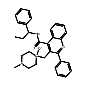 CCC(NC(=O)c1c(C[N+]2([O-])CCN(C)CC2)c(-c2ccccc2)nc2ccccc12)c1ccccc1